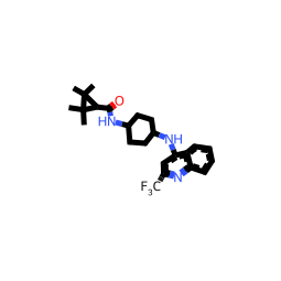 CC1(C)C(C(=O)NC2CCC(Nc3cc(C(F)(F)F)nc4ccccc34)CC2)C1(C)C